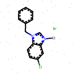 CCn1c[n+](Cc2ccccc2)c2ccc(Cl)cc21.[Br-]